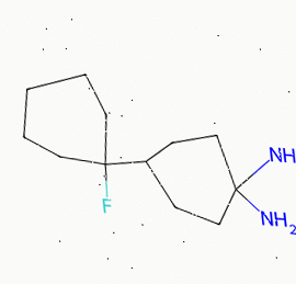 NC1(N)CCC(C2(F)CCCCC2)CC1